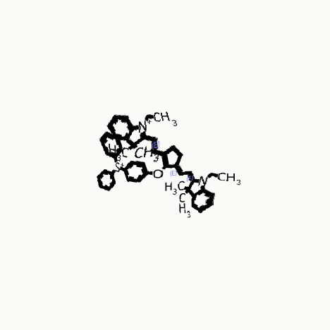 CCN1/C(=C/C=C2\CCC(/C=C/C3=[N+](CC)c4ccccc4C3(C)C)=C2Oc2ccc([S+](c3ccccc3)c3ccccc3)cc2)C(C)(C)c2ccccc21